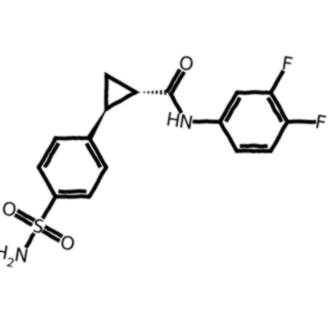 NS(=O)(=O)c1ccc([C@H]2C[C@@H]2C(=O)Nc2ccc(F)c(F)c2)cc1